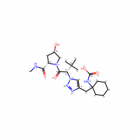 CNC(=O)[C@@H]1C[C@@H](O)CN1C(=O)[C@@H](n1cc(CC2(NC(=O)O)CCCCC2)nn1)C(C)(C)C